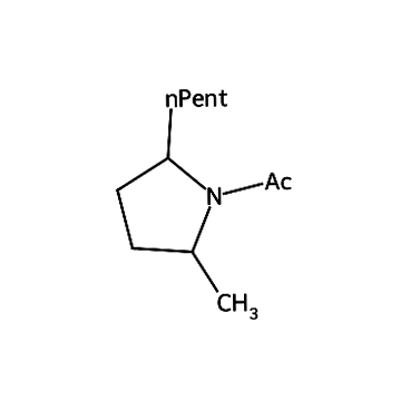 CCCCCC1CCC(C)N1C(C)=O